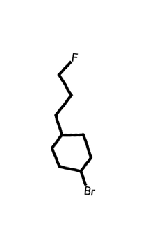 FCCCC1CCC(Br)CC1